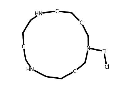 [Cl][Ti][N]1CCCCNCCCCNCCCC1